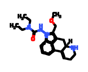 CCN(CC)C(=O)Nn1c(COC)c2c3c(cccc31)C1=CCCN[C@@H]1C2